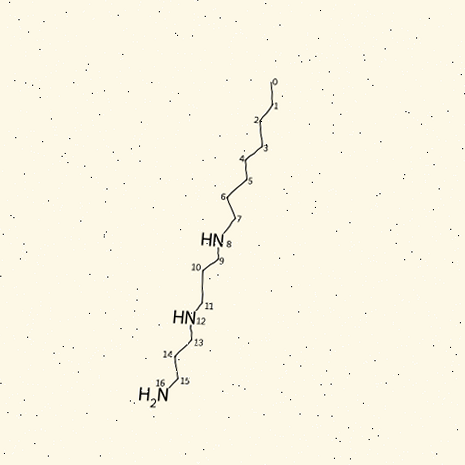 CCCCCCCCNCCCNCCCN